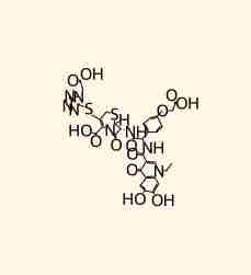 CCn1cc(C(=O)NC(C(=O)N[C@@H]2C(=O)N3C(C(=O)O)=C(CSc4nnnn4CC(=O)O)CS[C@H]23)c2ccc(OCC(=O)O)cc2)c(=O)c2cc(O)c(O)cc21